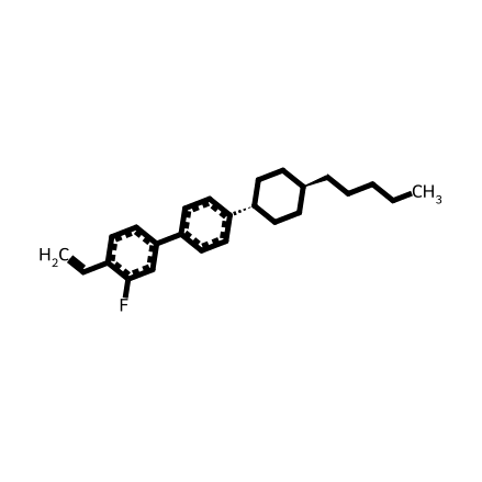 C=Cc1ccc(-c2ccc([C@H]3CC[C@H](CCCCC)CC3)cc2)cc1F